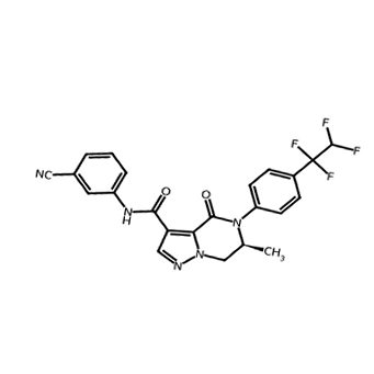 C[C@H]1Cn2ncc(C(=O)Nc3cccc(C#N)c3)c2C(=O)N1c1ccc(C(F)(F)C(F)F)cc1